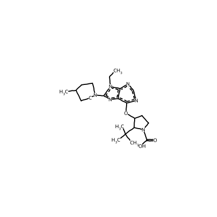 CCn1c(N2CCC(C)CC2)nc2c(OC3CCN(C(=O)O)C3C(C)(C)C)ncnc21